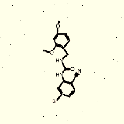 COc1ccc(CNC(=O)Nc2cc(Br)ccc2C#N)c(OC)c1